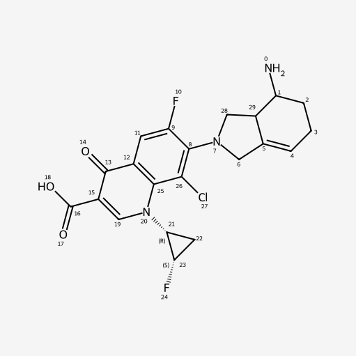 NC1CCC=C2CN(c3c(F)cc4c(=O)c(C(=O)O)cn([C@@H]5C[C@@H]5F)c4c3Cl)CC21